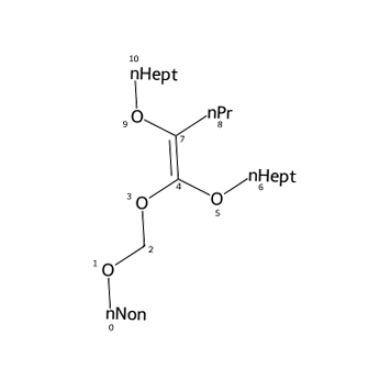 CCCCCCCCCOCOC(OCCCCCCC)=C(CCC)OCCCCCCC